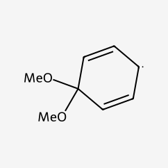 COC1(OC)C=C[CH]C=C1